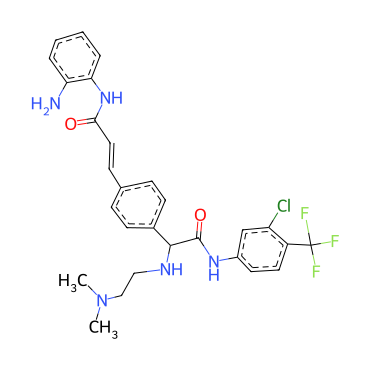 CN(C)CCNC(C(=O)Nc1ccc(C(F)(F)F)c(Cl)c1)c1ccc(C=CC(=O)Nc2ccccc2N)cc1